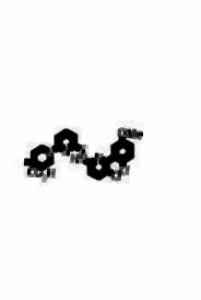 COc1ccc(Cl)c(-c2nc(NSc3cccc(N4CCC(C)(C(=O)O)CC4)n3)ccc2Cl)c1